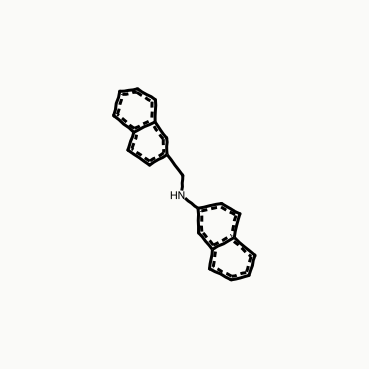 c1ccc2cc(CNc3ccc4ccccc4c3)ccc2c1